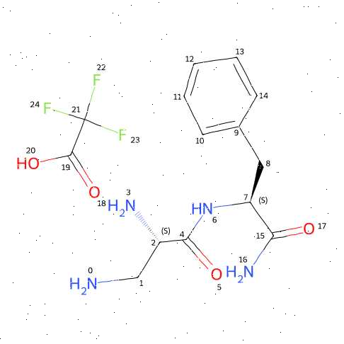 NC[C@H](N)C(=O)N[C@@H](Cc1ccccc1)C(N)=O.O=C(O)C(F)(F)F